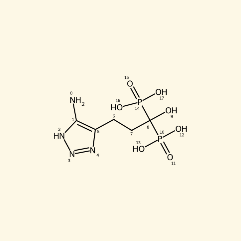 Nc1[nH]nnc1CCC(O)(P(=O)(O)O)P(=O)(O)O